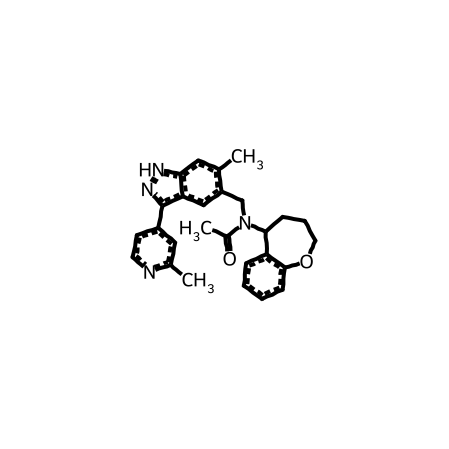 CC(=O)N(Cc1cc2c(-c3ccnc(C)c3)n[nH]c2cc1C)C1CCCOc2ccccc21